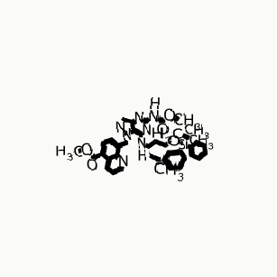 CCC[C@@H](CCO[Si](c1ccccc1)(c1ccccc1)C(C)(C)C)Nc1nc(NC(=O)OC)nc2cnn(Cc3ccc(C(=O)OC)c4cccnc34)c12